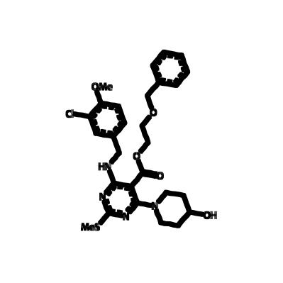 COc1ccc(CNc2nc(SC)nc(N3CCC(O)CC3)c2C(=O)OCCOCc2ccccc2)cc1Cl